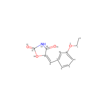 CCOc1cccc(C=C2OC(=O)NC2=O)c1